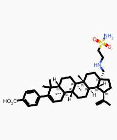 C=C(C)[C@@H]1CC[C@]2(CNCCS(N)(=O)=O)CC[C@]3(C)[C@H](CC[C@@H]4[C@@]5(C)CC=C(c6ccc(C(=O)O)cc6)C(C)(C)[C@@H]5CC[C@]43C)[C@@H]12